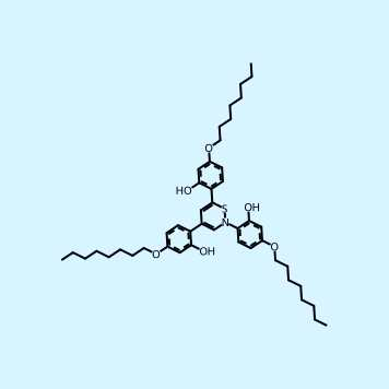 CCCCCCCCOc1ccc(C2=CN(c3ccc(OCCCCCCCC)cc3O)SC(c3ccc(OCCCCCCCC)cc3O)=C2)c(O)c1